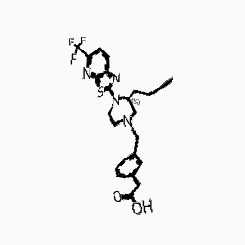 CCCC[C@H]1CN(Cc2cccc(CC(=O)O)c2)CCN1c1nc2ccc(C(F)(F)F)nc2s1